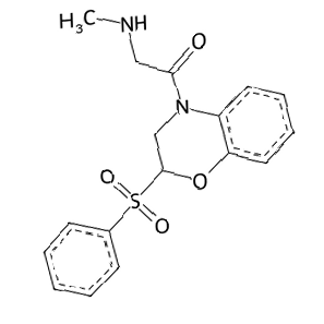 CNCC(=O)N1CC(S(=O)(=O)c2ccccc2)Oc2ccccc21